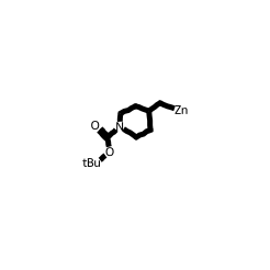 CC(C)(C)OC(=O)N1CCC([CH2][Zn])CC1